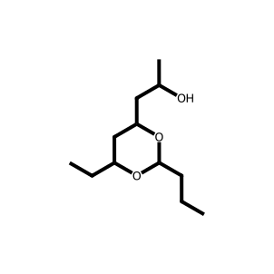 CCCC1OC(CC)CC(CC(C)O)O1